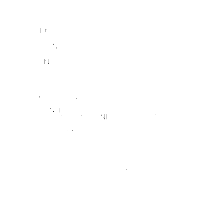 CCn1ccc([S@](N)(=O)=NC(=O)Nc2c3c(nc(C4CC4)c2C2CC2)CCC3)n1